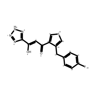 O=C(C=C(O)c1nn[nH]n1)c1cscc1Cc1ccc(F)cc1